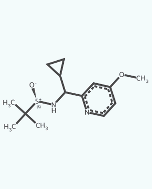 COc1ccnc(C(N[S@+]([O-])C(C)(C)C)C2CC2)c1